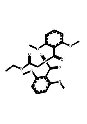 CCOC(=O)CP(=O)(C(=O)c1c(OC)cccc1OC)C(=O)c1c(OC)cccc1OC